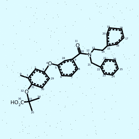 Cc1cc(Oc2cccc(C(=O)N(CCc3ccccc3)Cc3ccccc3)c2)ccc1OC(C)(C)C(=O)O